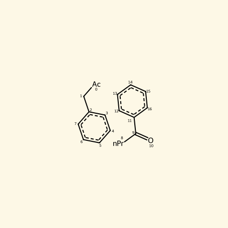 CC(=O)Cc1ccccc1.CCCC(=O)c1ccccc1